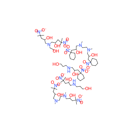 CC(C)(CC(O)CN(CCO)CC(O)CC(C)(C)[N+](=O)[O-])[N+](=O)[O-].CC(C)(CC(O)CNCCCO)[N+](=O)[O-].CN(CCN(C)CC(O)CC(C)(C)[N+](=O)[O-])CC(O)CC(C)(C)[N+](=O)[O-].CN(CCN(C)CC(O)CC1([N+](=O)[O-])CCCCC1)CC(O)CC1([N+](=O)[O-])CCCCC1.O=[N+]([O-])C1(CC(O)CNCCCO)CCCCC1